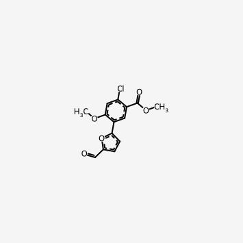 COC(=O)c1cc(-c2ccc(C=O)o2)c(OC)cc1Cl